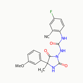 COc1cccc(C2(C)NC(=O)N(NC(=O)Nc3ccc(F)cc3C#N)C2=O)c1